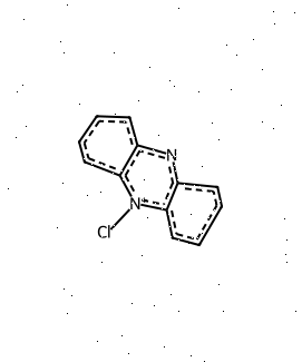 Cl[n+]1c2ccccc2nc2ccccc21